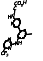 Cc1cc(Nc2nccc(C(F)(F)F)n2)cc(-c2ccc(NCCC(=O)O)nc2)c1